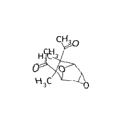 CC(=O)C1(C)C2OC(C3OC32)C1(C)C(C)=O